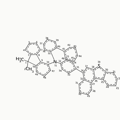 CC1(C)c2ccccc2-c2c(N(c3ccc(-c4cc5sc6ccccc6c5c5ccccc45)cc3)c3ccccc3-c3ccccc3)cccc21